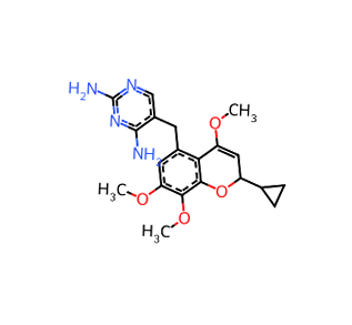 COC1=CC(C2CC2)Oc2c(OC)c(OC)cc(Cc3cnc(N)nc3N)c21